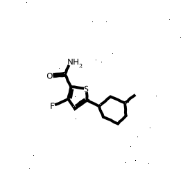 CC1CCCC(c2cc(F)c(C(N)=O)s2)C1